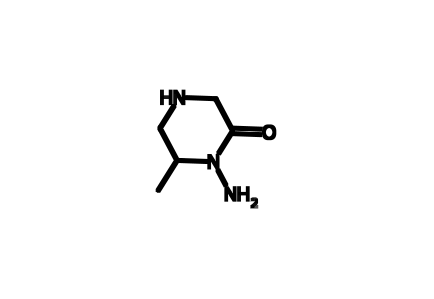 CC1CNCC(=O)N1N